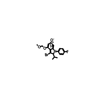 COCOC1=C[NH+]([O-])C=C2C1=C(Br)C(C(C)C)N2c1ccc(F)cc1